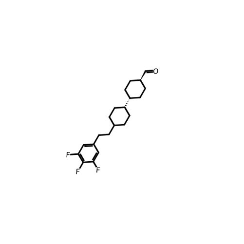 O=C[C@H]1CC[C@H](C2CCC(CCc3cc(F)c(F)c(F)c3)CC2)CC1